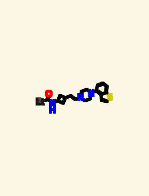 CCC(=O)NC1CC(CCN2CCN(c3cccc4sccc34)CC2)C1